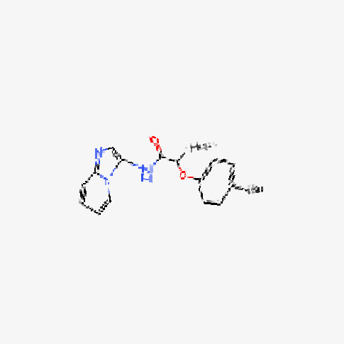 CCCCCCCC(Oc1ccc(C(C)CC)cc1)C(=O)Nc1cnc2ccccn12